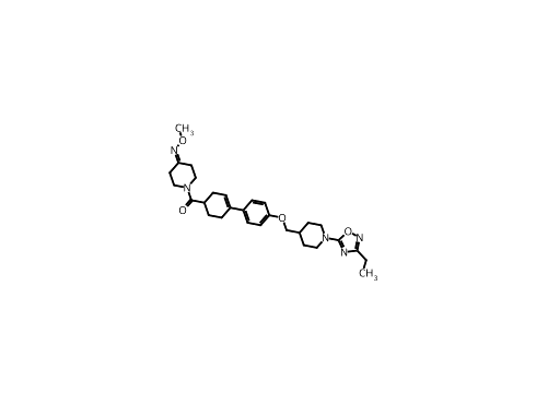 CCc1noc(N2CCC(COc3ccc(C4=CCC(C(=O)N5CCC(=NOC)CC5)CC4)cc3)CC2)n1